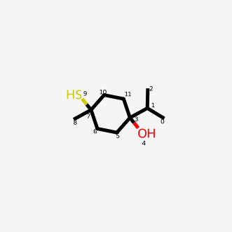 CC(C)C1(O)CCC(C)(S)CC1